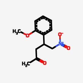 COc1ccccc1C(CC(C)=O)C[N+](=O)[O-]